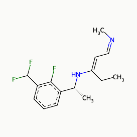 CC/C(=C\C=N/C)N[C@H](C)c1cccc(C(F)F)c1F